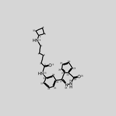 O=C(CCCCNC1CCC1)Nc1cccc(-c2n[nH]c(=O)c3ccccc23)c1